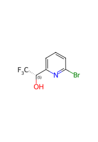 O[C@@H](c1cccc(Br)n1)C(F)(F)F